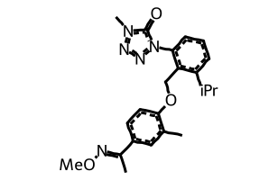 CO/N=C(\C)c1ccc(OCc2c(C(C)C)cccc2-n2nnn(C)c2=O)c(C)c1